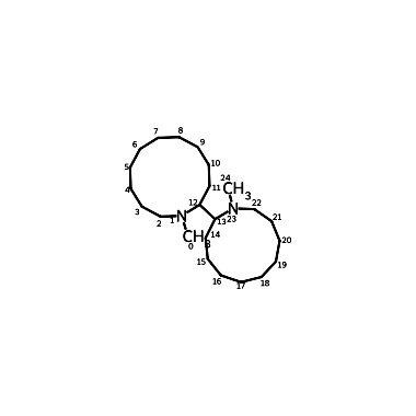 CN1CCCCCCCCCCC1C1CCCCCCCCCN1C